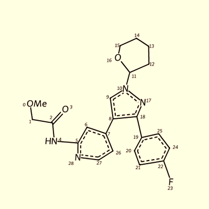 COCC(=O)Nc1cc(-c2cn(C3CCCCO3)nc2-c2ccc(F)cc2)ccn1